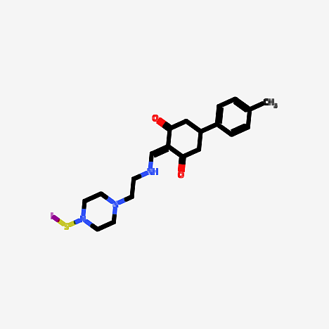 Cc1ccc(C2CC(=O)C(=CNCCN3CCN(SI)CC3)C(=O)C2)cc1